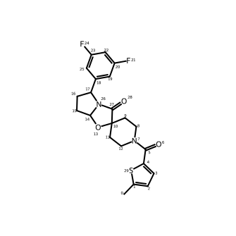 Cc1ccc(C(=O)N2CCC3(CC2)OC2CCC(c4cc(F)cc(F)c4)N2C3=O)s1